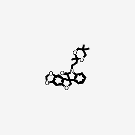 CC1(C)COC(C)(CCN2C(=O)C3(COc4cc5c(cc43)OCO5)c3ccccc32)OC1